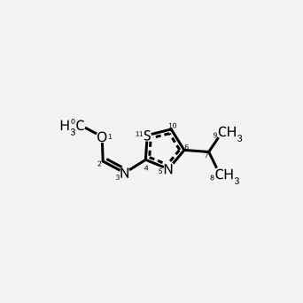 CO/C=N\c1nc(C(C)C)cs1